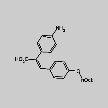 CCCCCCCCOc1ccc(C=C(C(=O)O)c2ccc(N)cc2)cc1